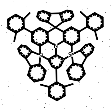 Cc1cccc(C)c1-c1cc2c3c(c1)[Si]1(c4ccccc4-c4ccccc41)c1cc(-c4c(C)cccc4C)cc4c1N3c1c(cc(-c3c(C)cccc3C)cc1[Si]41c3ccccc3-c3ccccc31)C21c2ccccc2-c2ccccc21